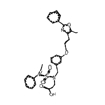 Cc1oc(-c2ccccc2)nc1CCOc1cccc(CN(CC(=O)O)S(=O)(=O)N(C)c2ccccc2)c1